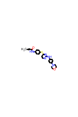 CC#CC(=O)Nc1ccc(Sc2ccnc(Nc3ccc(N4CCOCC4)cc3)n2)cc1